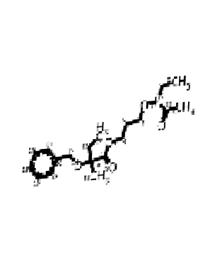 CCP(OCCCOC(=O)C(C)(CC)OCc1ccccc1)C(C)=O